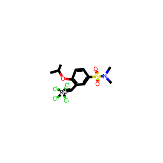 CC(C)Oc1ccc(S(=O)(=O)N(C)C)cc1[CH]=[Ru]([Cl])([Cl])([Cl])[Cl]